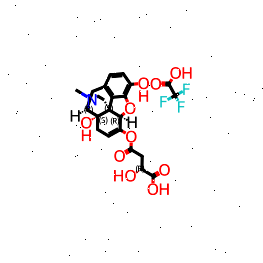 CN1CC[C@]23c4c5ccc(O)c4O[C@H]2C(OC(=O)C[C@@H](O)C(=O)O)=CC[C@@]3(O)[C@H]1C5.O=C(O)C(F)(F)F